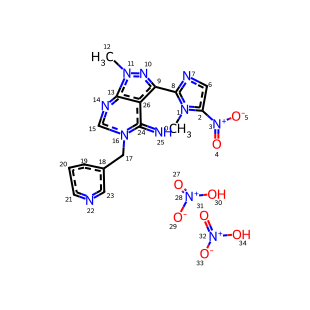 Cn1c([N+](=O)[O-])cnc1-c1nn(C)c2ncn(Cc3cccnc3)c(=N)c12.O=[N+]([O-])O.O=[N+]([O-])O